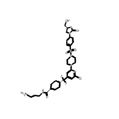 NCCCNC(=O)[C@H]1CC[C@H](C(F)(F)c2cc(Cl)nc(N3CCN(S(=O)(=O)c4ccc(N5C[C@@H](CO)OC5=O)cc4)CC3)c2)CC1